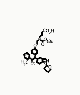 CC/C(=C(/c1ccc(OCCN(C/C=C/C(=O)O)C(=O)OC(C)(C)C)cc1)c1ccc2c(cnn2C2CCCCO2)c1)c1ccccc1C